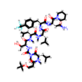 CCN(C(=O)N[C@H](C(=O)N(C)[C@@H](CC(C)C)C(=O)N(C)[C@@H](CC(C)C)C(=O)N[C@@H](Cc1ccc(C(F)(F)F)cc1)C(=O)N[C@@H](CC(N)=O)C(=O)N1CCCCC1)[C@@H](C)O)C(=O)[C@H](CC(C)C)N(C)C(=O)/C=C\OC(C)(C)C